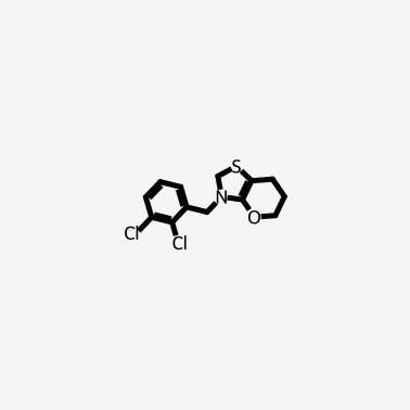 Clc1cccc(CN2CSC3=C2OCCC3)c1Cl